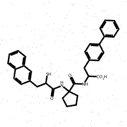 O=C(NC1(C(=O)NC(Cc2ccc(-c3ccccc3)cc2)C(=O)O)CCCC1)C(S)Cc1ccc2ccccc2c1